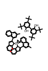 CC(C)(C)c1cc(-c2cc(C(C)(C)C)cc(C(C)(C)C)c2O)c(O)c(C(C)(C)C)c1.Cc1cc(C2=Cc3ccccc3[CH]2[Zr]2([CH]3C(c4cc(C)cc5ccccc45)=Cc4ccccc43)[CH2][CH2]2)c2ccccc2c1